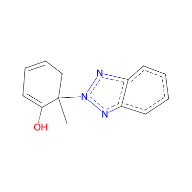 CC1(n2nc3ccccc3n2)CC=CC=C1O